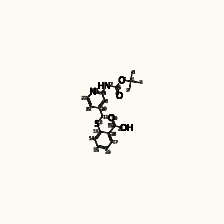 CC(C)(C)OC(=O)Nc1cc(CSc2ccccc2C(=O)O)ccn1